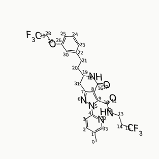 Cc1ccc(-n2nc3c(c2C(=O)NCCC(F)(F)F)C(=O)NC(CCc2cccc(OCC(F)(F)F)c2)C3)nc1